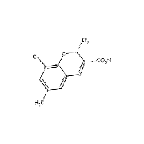 Cc1cc(Cl)c2c(c1)C=C(C(=O)O)[C@@H](C(F)(F)F)O2